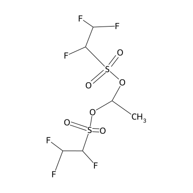 CC(OS(=O)(=O)C(F)C(F)F)OS(=O)(=O)C(F)C(F)F